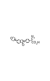 CC(C(=O)O)c1ccc(N2Cc3cc(N4CCOCC4)ccc3C2=O)cc1